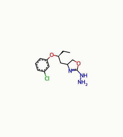 CC[C@@H](CC1COC(NN)=N1)Oc1cccc(Cl)c1